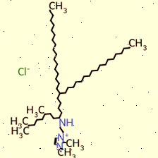 CCCCCCCCCCCCCCCCCCC(CCCCCCCCCCCCCCCCCC)CCCCC(CCC(C)CCCC(C)C)NCC[n+]1ccn(C)c1C.[Cl-]